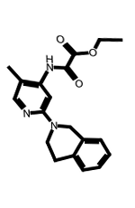 CCOC(=O)C(=O)Nc1cc(N2CCc3ccccc3C2)ncc1C